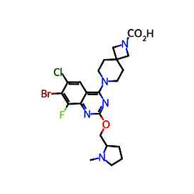 CN1CCCC1COc1nc(N2CCC3(CC2)CN(C(=O)O)C3)c2cc(Cl)c(Br)c(F)c2n1